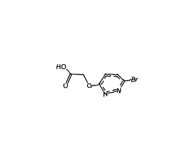 O=C(O)COc1ccc(Br)nn1